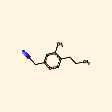 CCCc1ccc(CC#N)cc1C